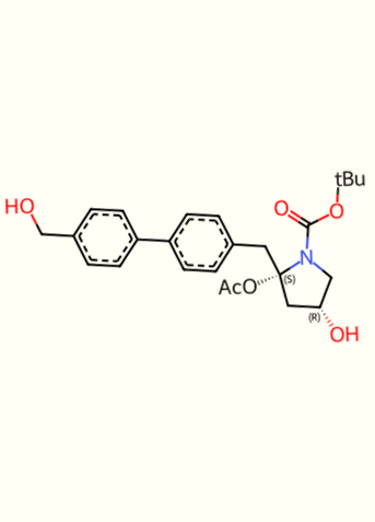 CC(=O)O[C@@]1(Cc2ccc(-c3ccc(CO)cc3)cc2)C[C@@H](O)CN1C(=O)OC(C)(C)C